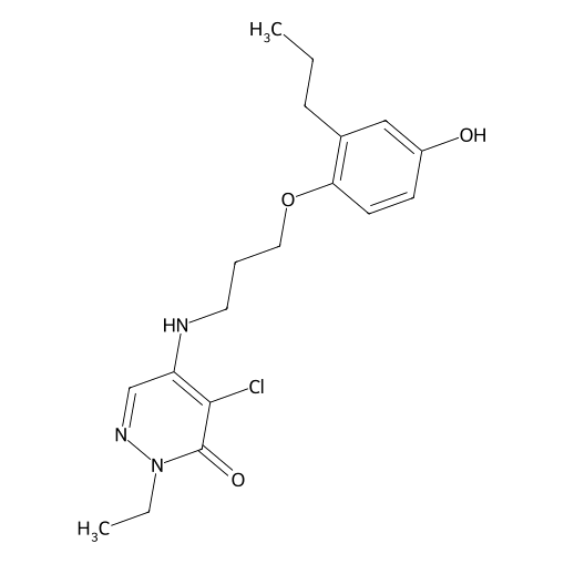 CCCc1cc(O)ccc1OCCCNc1cnn(CC)c(=O)c1Cl